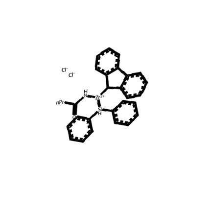 CCCC(=O)[NH][Zr+2]([CH]1c2ccccc2-c2ccccc21)[SiH](c1ccccc1)c1ccccc1.[Cl-].[Cl-]